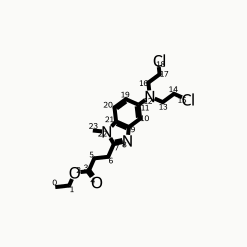 CCOC(=O)CCc1nc2cc(N(CCCl)CCCl)ccc2n1C